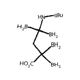 BC(B)(CC(B)(B)C(=O)O)NC(C)(C)C